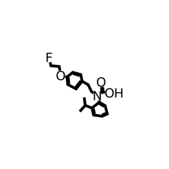 CC(C)c1ccccc1N(CCc1ccc(OCCF)cc1)C(=O)O